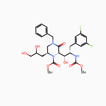 CC(C)(C)OC(=O)N[C@@H](Cc1cc(F)cc(F)c1)[C@H](O)[C@H]1C(=O)N(Cc2ccccc2)C[C@H](CC(O)CO)N1C(=O)OC(C)(C)C